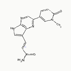 Cn1cc(-c2cnc3[nH]cc(/C=C/C(N)=O)c3n2)ccc1=O